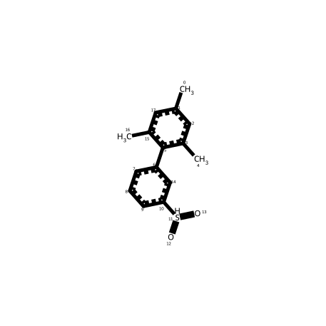 Cc1cc(C)c(-c2cc[c]c([SH](=O)=O)c2)c(C)c1